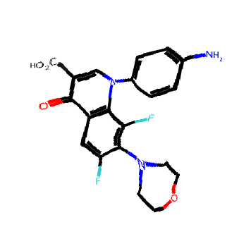 Nc1ccc(-n2cc(C(=O)O)c(=O)c3cc(F)c(N4CCOCC4)c(F)c32)cc1